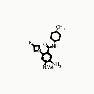 CNc1cc(N2CC(F)C2)c(C(=O)N[C@H]2CC[C@H](C)CC2)cc1N